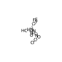 C#CCCn1c(NCCc2ccc(C(F)(F)F)cc2)nc2c(c1=O)CN(C(=O)c1ccc(Cl)cc1)CC2